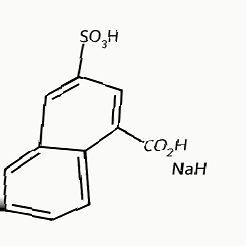 O=C(O)c1cc(S(=O)(=O)O)cc2ccccc12.[NaH]